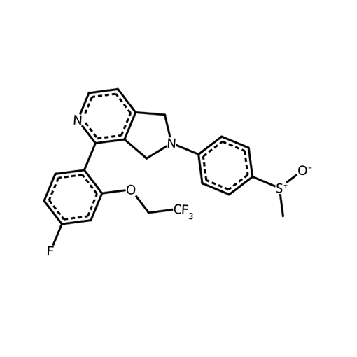 C[S+]([O-])c1ccc(N2Cc3ccnc(-c4ccc(F)cc4OCC(F)(F)F)c3C2)cc1